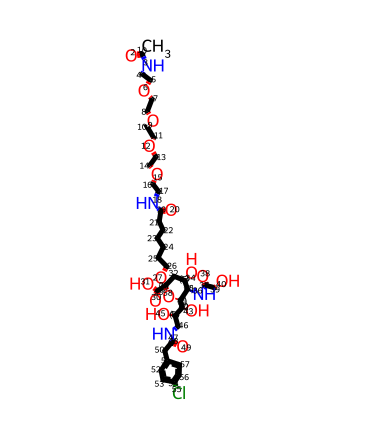 CC(=O)NCCOCCOCCOCCOCCNC(=O)CCCCCCO[C@]1(C(=O)O)C[C@H](O)[C@@H](NC(=O)CO)[C@H]([C@H](O)[C@H](O)CNC(=O)Cc2ccc(Cl)cc2)O1